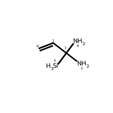 C=CC(N)(N)[SiH3]